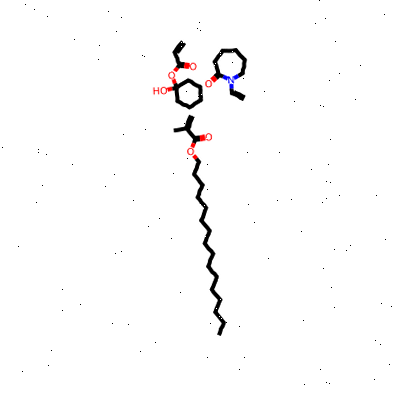 C=C(C)C(=O)OCCCCCCCCCCCCCCCC.C=CC(=O)OC1(O)CCCCC1.C=CN1CCCCCC1=O